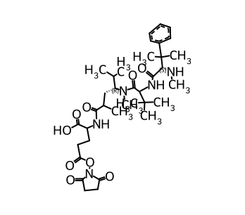 CN[C@H](C(=O)NC(C(=O)N(C)[C@H](CC(C)C(=O)NC(CCC(=O)ON1C(=O)CCC1=O)C(=O)O)C(C)C)C(C)(C)C)C(C)(C)c1ccccc1